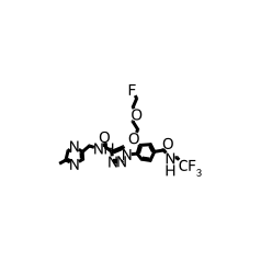 Cc1cnc(CNC(=O)c2cn(-c3ccc(C(=O)NCC(F)(F)F)cc3OCCOCCF)nn2)cn1